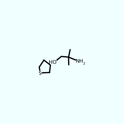 C1CCSC1.CC(C)(N)CO